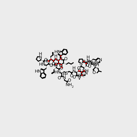 C=CC[C@H](NC(=O)[C@H](Cc1c[nH]c2ccccc12)NC(=O)[C@@H]1CCCN1)C(=O)N[C@@H](Cc1c[nH]c2ccccc12)C(=O)N(C)[C@@H](CCCC)C(=O)N(C)[C@@H](CCCC)C(=O)N[C@@H](CC=C)C(=O)N[C@@H](CSCC(=O)N[C@@H](Cc1cnc[nH]1)C(=O)N(C)[C@@H](C)C(=O)N[C@@H](CC(N)=O)C(=O)N1CCCC1C(=O)N[C@@H](Cc1cnc[nH]1)C(=O)N[C@H](C=O)CC(C)C)C(=O)NCC(N)=O